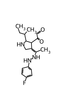 CCC(C)C1NCC(=C(C)NNc2ccc(F)cc2)C1C(=O)C=O